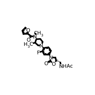 CC(=O)NC[C@H]1CN(c2ccc(N3CCC(N(C)C(=O)c4ccco4)C(C)C3)c(F)c2)C(=O)O1